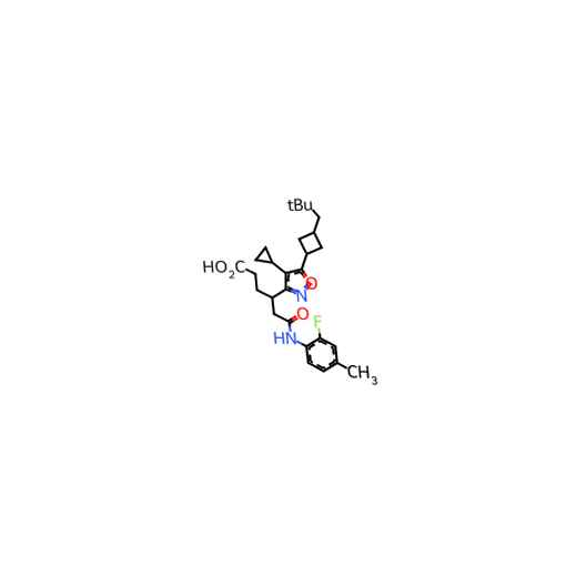 Cc1ccc(NC(=O)CC(CCC(=O)O)c2noc(C3CC(CC(C)(C)C)C3)c2C2CC2)c(F)c1